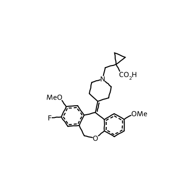 COc1ccc2c(c1)C(=C1CCN(CC3(C(=O)O)CC3)CC1)c1cc(OC)c(F)cc1CO2